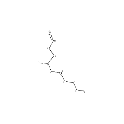 CCCCOCC(C)CCC=O